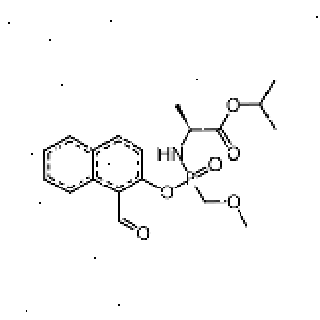 COCP(=O)(N[C@@H](C)C(=O)OC(C)C)Oc1ccc2ccccc2c1C=O